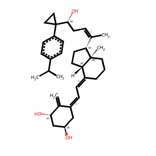 C=C1/C(=C\C=C2/CCC[C@]3(C)[C@@H](/C(C)=C\C[C@@H](O)C4(c5ccc(C(C)C)cc5)CC4)CC[C@@H]23)C[C@@H](O)C[C@@H]1O